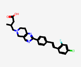 CC(CC(=O)O)CN1CCc2nc(-c3ccc(/C=C/c4ccc(Cl)cc4F)cc3)ncc2C1